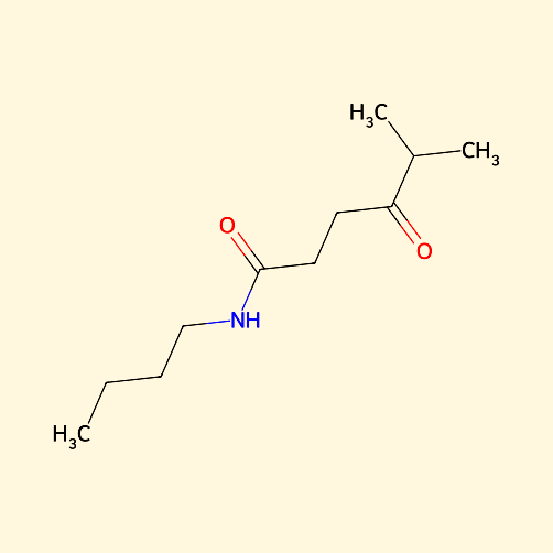 CCCCNC(=O)CCC(=O)C(C)C